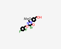 COc1cc(CO)ccc1-n1c(C)nc(OCc2ccc(F)cc2F)c(Br)c1=O